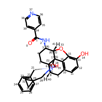 O=C(N[C@@H]1CC[C@@]2(O)[C@H]3Cc4ccc(O)c5c4[C@@]2(CC[N@+]3(Cc2ccccc2)CC2CC2)[C@H]1O5)c1ccncc1